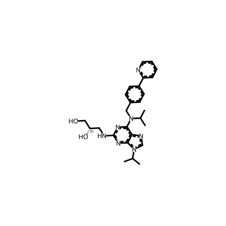 CC(C)N(Cc1ccc(-c2ccccn2)cc1)c1nc(NC[C@H](O)CO)nc2c1ncn2C(C)C